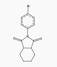 O=C1C2CCCCC2C(=O)N1c1ccc(Br)cc1